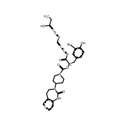 CCC(O)=C=C=NC=C=C=NC(=O)[C@@H](Cc1ccc(O)c(Br)c1)OC(=O)N1CCC(N2CCc3ccccc3NC2=O)CC1